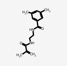 C=C(C)C(=O)NCCNC(=O)c1cc(C)cc(C)c1